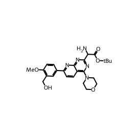 COc1ccc(-c2ccc3c(N4CCOCC4)nc(C(N)C(=O)OC(C)(C)C)nc3n2)cc1CO